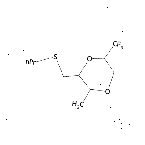 CCCSCC1OC(C(F)(F)F)COC1C